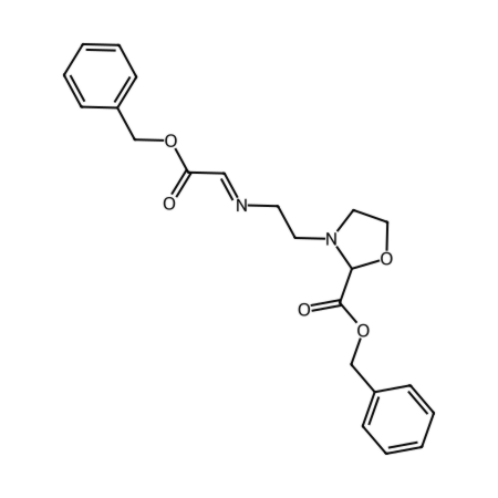 O=C(/C=N/CCN1CCOC1C(=O)OCc1ccccc1)OCc1ccccc1